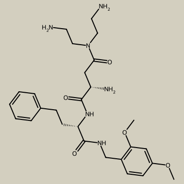 COc1ccc(CNC(=O)[C@H](CCc2ccccc2)NC(=O)[C@@H](N)CC(=O)N(CCN)CCN)c(OC)c1